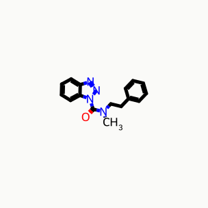 CN(CCc1ccccc1)C(=O)n1nnc2ccccc21